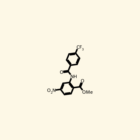 COC(=O)c1ccc([N+](=O)[O-])cc1NC(=O)c1ccc(C(F)(F)F)cc1